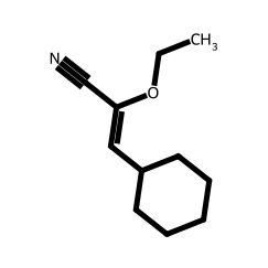 CCOC(C#N)=CC1CCCCC1